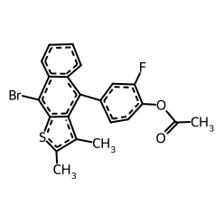 CC(=O)Oc1ccc(-c2c3ccccc3c(Br)c3sc(C)c(C)c23)cc1F